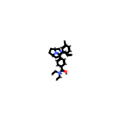 C=CCN1CCC2CCC(C1)N2C(C1=CCC(C(=O)N(CC)CC)C=C1)c1cccc(C)c1